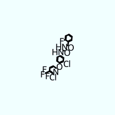 O=C(NC(=O)c1ccccc1F)Nc1ccc(Oc2ccc(C(F)(F)F)c(Cl)n2)c(Cl)c1